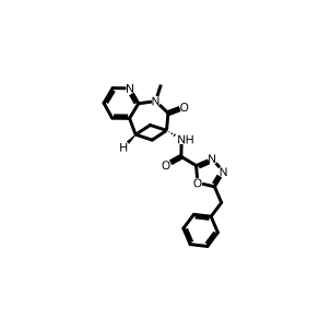 CN1c2ncccc2[C@H]2C[C@@](NC(=O)c3nnc(Cc4ccccc4)o3)(C2)C1=O